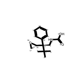 CC(C)(C)[C@@](CNC(=O)O)(c1ccccc1)[C@@H]1CO1